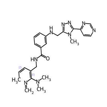 C=N/C(=C(\C=C/C)CNC(=O)c1cccc(NCc2nnc(-c3ccncn3)n2C)c1)N(C)C